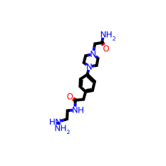 NNCCNC(=O)Cc1ccc(N2CCN(CC(N)=O)CC2)cc1